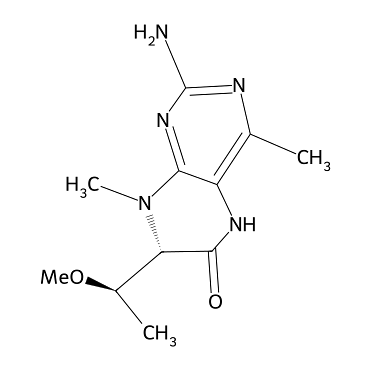 CO[C@H](C)[C@H]1C(=O)Nc2c(C)nc(N)nc2N1C